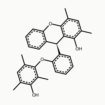 Cc1cc(C)c(Oc2ccccc2[C@H]2c3ccccc3Oc3c(C)cc(C)c(O)c32)c(C)c1O